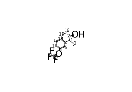 [CH2]C(CO)c1cc(OC(F)(F)F)ccc1CC